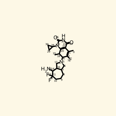 CC1=C(F)C(N2CC3CCCC(F)(F)C(N)C3C2)C(C)c2c1c(=O)[nH]c(=O)n2C1CC1